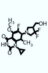 COC1=C(F)C(N2CC(CO)C(F)(F)C2)C(C)c2c1c(=O)[nH]c(=O)n2C1CC1